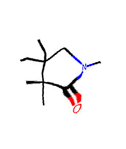 CN1CC(C)(C)C(C)(C)C1=O